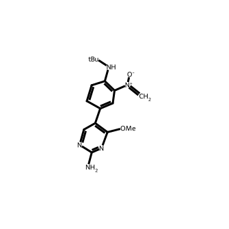 C=[N+]([O-])c1cc(-c2cnc(N)nc2OC)ccc1NC(C)(C)C